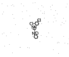 Clc1ccc(-n2cc(-c3nc4ccccc4o3)cn2)c(Cl)c1